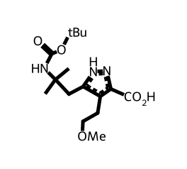 COCCc1c(C(=O)O)n[nH]c1CC(C)(C)NC(=O)OC(C)(C)C